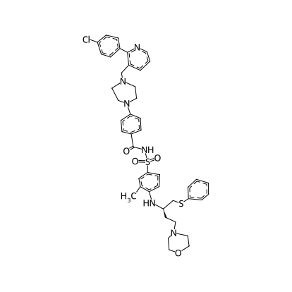 Cc1cc(S(=O)(=O)NC(=O)c2ccc(N3CCN(Cc4cccnc4-c4ccc(Cl)cc4)CC3)cc2)ccc1N[C@H](CCN1CCOCC1)CSc1ccccc1